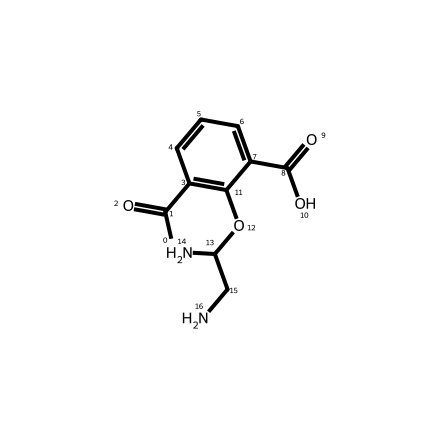 CC(=O)c1cccc(C(=O)O)c1OC(N)CN